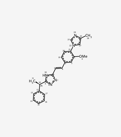 COc1cc(C=Cc2nnc([C@H](C)c3ccccc3)[nH]2)ccc1-n1cnc(C)c1